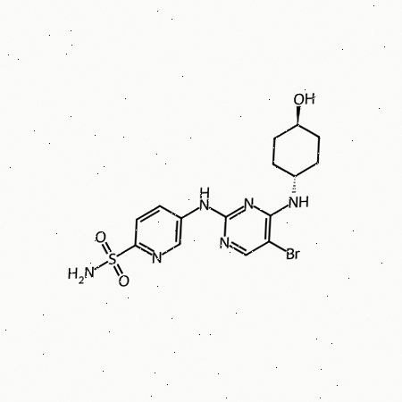 NS(=O)(=O)c1ccc(Nc2ncc(Br)c(N[C@H]3CC[C@H](O)CC3)n2)cn1